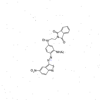 CCN(CCN1C(=O)c2ccccc2C1=O)c1ccc(/N=N/c2snc3ccc([N+](=O)[O-])cc23)c(NC(C)=O)c1